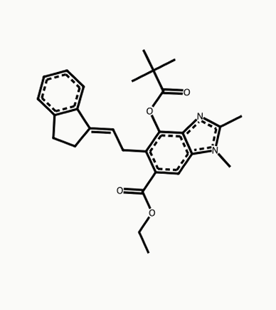 CCOC(=O)c1cc2c(nc(C)n2C)c(OC(=O)C(C)(C)C)c1C/C=C1\CCc2ccccc21